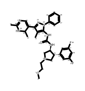 COCCN1C[C@@H](NC(=O)Nc2c(C)c(C3=CN=C(C)NC3C)nn2-c2ccccc2)[C@H](c2cc(F)cc(F)c2)C1